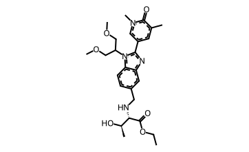 CCOC(=O)[C@@H](NCc1ccc2c(c1)nc(-c1cc(C)c(=O)n(C)c1)n2C(COC)COC)[C@@H](C)O